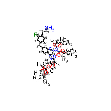 CCOCc1nc2c(N(C(=O)OC(C)(C)C)C(=O)OC(C)(C)C)nc3cc(Cc4ccc(CCN)c(F)c4)ccc3c2n1CC(C)(C)OC(=O)OC(C)(C)C